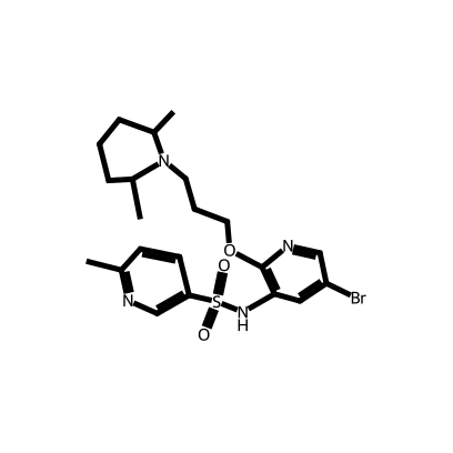 Cc1ccc(S(=O)(=O)Nc2cc(Br)cnc2OCCCN2C(C)CCCC2C)cn1